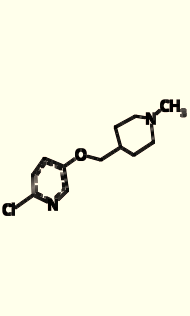 CN1CCC(COc2ccc(Cl)nc2)CC1